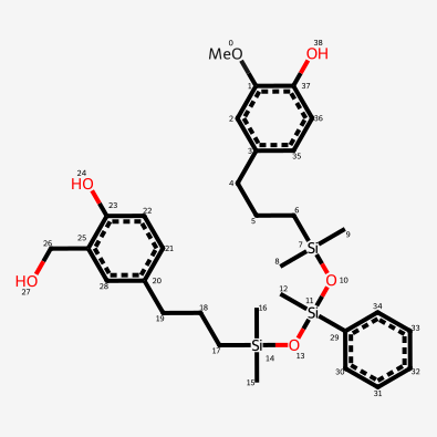 COc1cc(CCC[Si](C)(C)O[Si](C)(O[Si](C)(C)CCCc2ccc(O)c(CO)c2)c2ccccc2)ccc1O